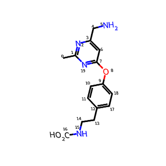 Cc1nc(CN)cc(Oc2ccc(CCNC(=O)O)cc2)n1